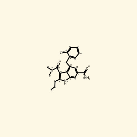 CCCc1[nH]c2cc(C(N)=O)cc(Cc3ccccc3Cl)c2c1C(=O)N(C)C